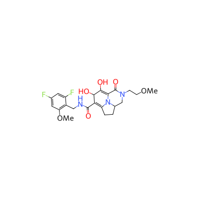 COCCN1CC2CCC3=C(C(=O)NCc4c(F)cc(F)cc4OC)C(O)C(O)=C(C1=O)N32